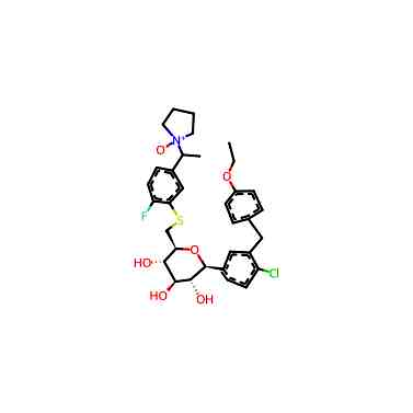 CCOc1ccc(Cc2cc([C@@H]3O[C@H](CSc4cc(C(C)[N+]5([O-])CCCC5)ccc4F)[C@@H](O)[C@H](O)[C@H]3O)ccc2Cl)cc1